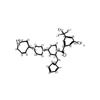 CCC(F)(F)c1cc(C(=O)N2CCC(N3CCN(C4CCCNCC4)CC3)CC2Cc2ccccc2)cc(C(F)(F)F)c1